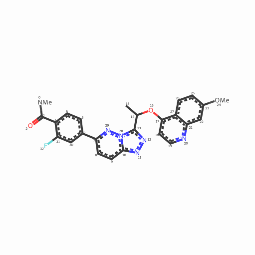 CNC(=O)c1ccc(-c2ccc3nnc(C(C)Oc4ccnc5cc(OC)ccc45)n3n2)cc1F